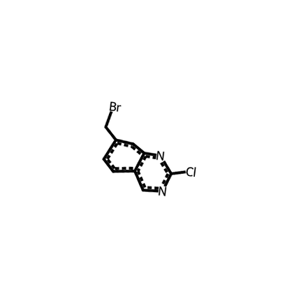 Clc1ncc2ccc(CBr)cc2n1